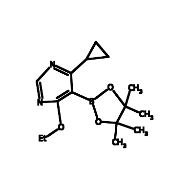 CCOc1ncnc(C2CC2)c1B1OC(C)(C)C(C)(C)O1